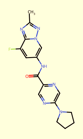 Cc1nc2c(F)cc(NC(=O)c3cnc(N4CCCC4)cn3)cn2n1